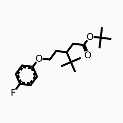 CC(C)(C)OC(=O)CC(CCOc1ccc(F)cc1)C(C)(C)C